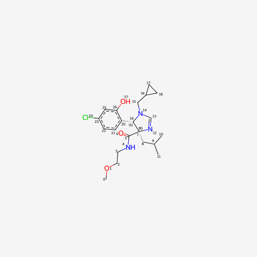 COCCNC(=O)[C@]1(CC(C)C)N=CN(CC2CC2)[C@H]1c1ccc(Cl)cc1O